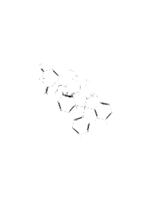 CO[N+]1([C@@H]2O[C@H](C(N)C(c3ccccc3)(c3ccccc3)c3ccccc3)[C@@H](O)[C@H]2F)C=CC(=O)NC1=O